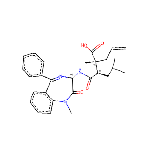 C=CC[C@@](C)(C(=O)O)[C@@H](CC(C)C)C(=O)N[C@H]1N=C(c2ccccc2)c2ccccc2N(C)C1=O